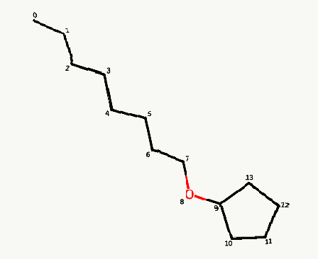 CCCCCCCCOC1CCCC1